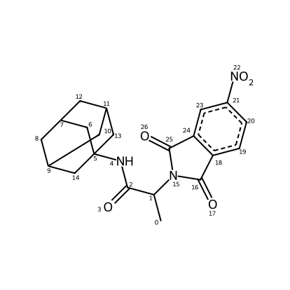 CC(C(=O)NC12CC3CC(CC(C3)C1)C2)N1C(=O)c2ccc([N+](=O)[O-])cc2C1=O